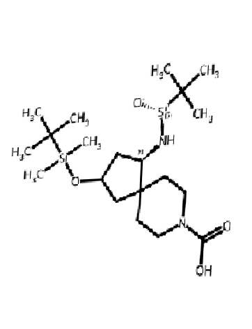 CC(C)(C)[S@@+]([O-])N[C@@H]1CC(O[Si](C)(C)C(C)(C)C)CC12CCN(C(=O)O)CC2